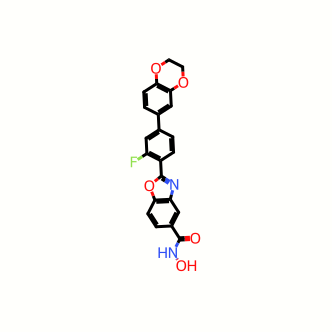 O=C(NO)c1ccc2oc(-c3ccc(-c4ccc5c(c4)OCCO5)cc3F)nc2c1